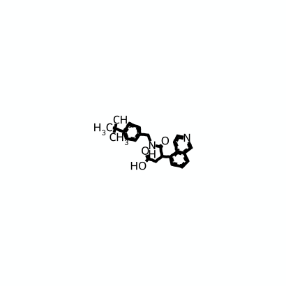 CC(C)(C)c1ccc(CNC(=O)C(CC(=O)O)c2cccc3cnccc23)cc1